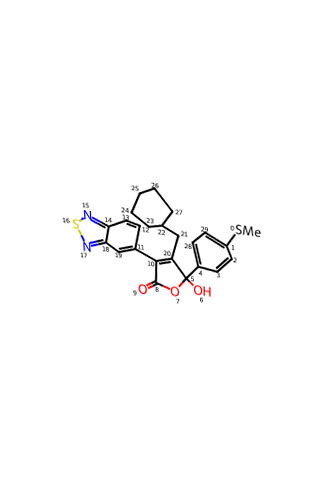 CSc1ccc(C2(O)OC(=O)C(c3ccc4nsnc4c3)=C2CC2CCCCC2)cc1